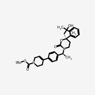 C[C@@H](c1ccc(C2=CCN(C(=O)OC(C)(C)C)CC2)cc1)N1CC[C@](CC(C)(C)O)(c2ccccc2)OC1=O